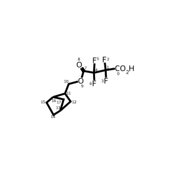 O=C(O)C(F)(F)C(F)(F)C(=O)OCC1CC2CCC1C2